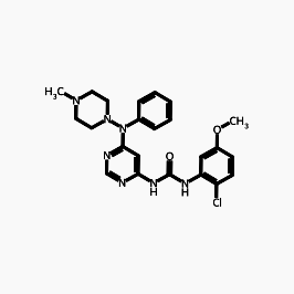 COc1ccc(Cl)c(NC(=O)Nc2cc(N(c3ccccc3)N3CCN(C)CC3)ncn2)c1